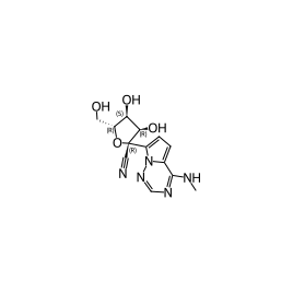 CNc1ncnn2c([C@]3(C#N)O[C@H](CO)[C@@H](O)[C@H]3O)ccc12